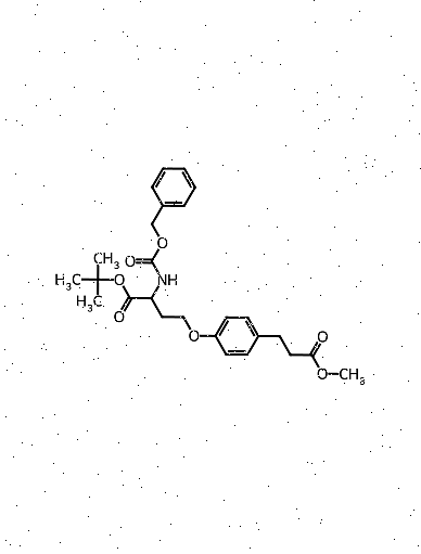 COC(=O)CCc1ccc(OCCC(NC(=O)OCc2ccccc2)C(=O)OC(C)(C)C)cc1